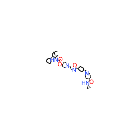 CN(CCN1CCC(OC(=O)Nc2ccccc2-c2ccccc2)CC1)C(=O)c1ccc(CN2CCC(C(=O)NC3CC3)CC2)cc1